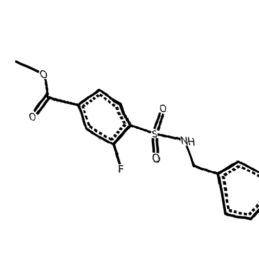 COC(=O)c1ccc(S(=O)(=O)NCc2ccccc2)c(F)c1